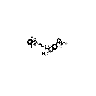 CN(Cc1ccc(C2=NCCN2C(=O)O)cc1)C(=O)COCCNCS(=O)(=O)c1c(F)cccc1F